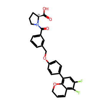 O=C(O)[C@@H]1CCCN1C(=O)c1cccc(COc2ccc(-c3cc(F)c(F)c4c3OCC=C4)cc2)c1